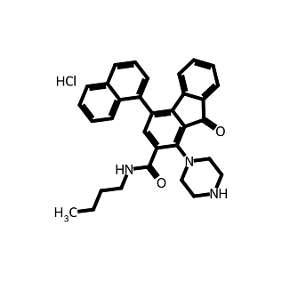 CCCCNC(=O)c1cc(-c2cccc3ccccc23)c2c(c1N1CCNCC1)C(=O)c1ccccc1-2.Cl